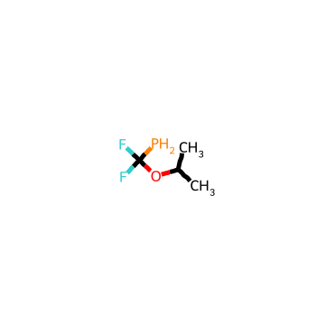 CC(C)OC(F)(F)P